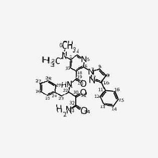 CN(C)c1cnc(-n2ccc(-c3ccccc3)n2)c(C(=O)NC(Cc2ccccc2)C(=O)C(N)=O)c1